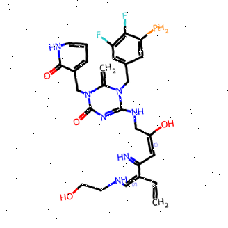 C=C/C(=C/NCCO)C(=N)/C=C(/O)CNC1=NC(=O)N(Cc2ccc[nH]c2=O)C(=C)N1Cc1cc(F)c(F)c(P)c1